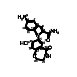 Cl.NC(=O)c1cc2cc(N)ccc2n1-c1ccc2c(c1)C(=O)NCCO2